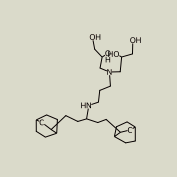 OCC(O)CN(CCCNC(CCC1CC2CCC1CC2)CCC1CC2CCC1CC2)CC(O)CO